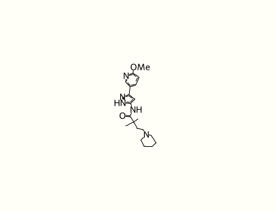 COc1ccc(-c2cc(NC(=O)C(C)(C)CCN3CCCCC3)[nH]n2)cn1